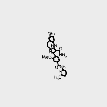 COc1cc(C(=O)Nc2cccc(C)n2)ccc1-c1nn2c(c1C(N)=O)Nc1ccc(C(C)(C)C)cc1CC2